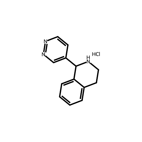 Cl.c1ccc2c(c1)CCNC2c1ccnnc1